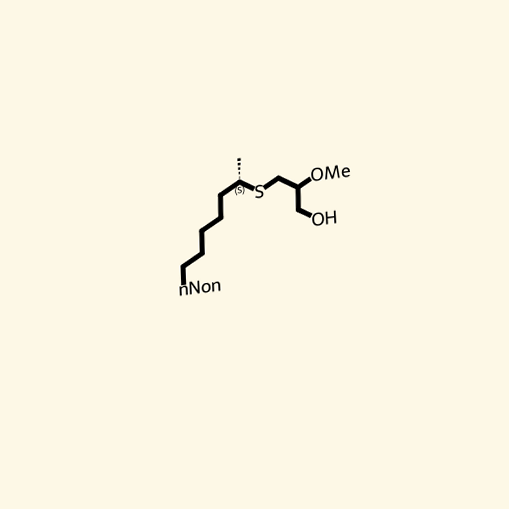 CCCCCCCCCCCCCC[C@H](C)SCC(CO)OC